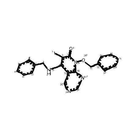 O=c1c(I)c(NCc2ccccc2)c2cncnc2n1OCc1ccccc1